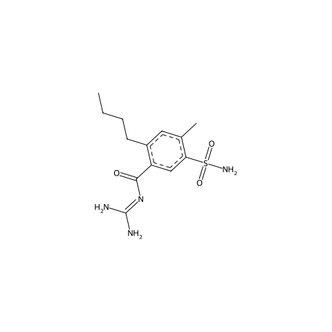 CCCCc1cc(C)c(S(N)(=O)=O)cc1C(=O)N=C(N)N